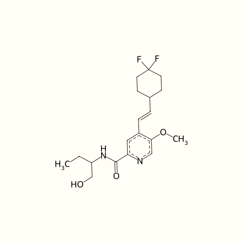 CCC(CO)NC(=O)c1cc(/C=C/C2CCC(F)(F)CC2)c(OC)cn1